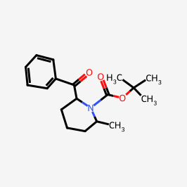 CC1CCCC(C(=O)c2ccccc2)N1C(=O)OC(C)(C)C